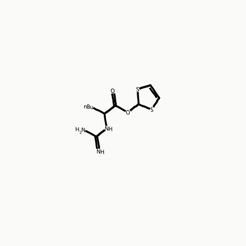 CCCCC(NC(=N)N)C(=O)OC1SC=CS1